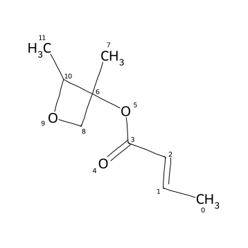 CC=CC(=O)OC1(C)COC1C